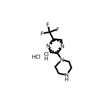 Cl.Cl.FC(F)(F)c1cnc(N2CCNCC2)cn1